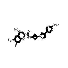 COc1ncc(-c2cnn(C34CC(NC(=O)[C@H]5C[C@@H](O)c6cc(C(F)(F)F)c(F)cc6O5)(C3)C4)c2)cn1